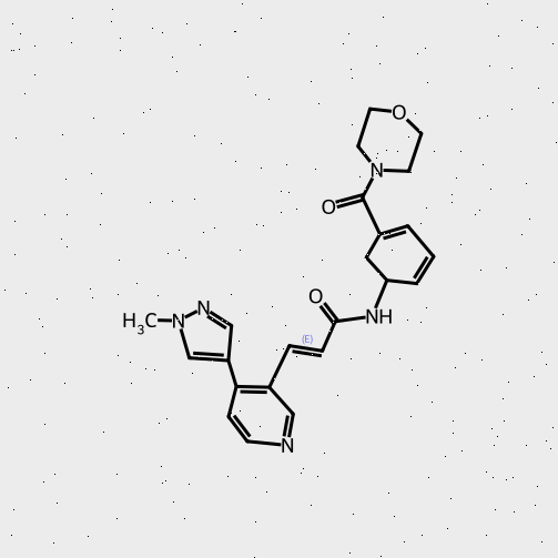 Cn1cc(-c2ccncc2/C=C/C(=O)NC2C=CC=C(C(=O)N3CCOCC3)C2)cn1